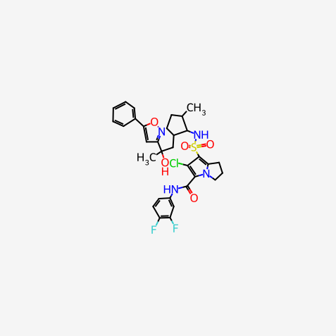 CC1CCC(CC(C)(O)c2cc(-c3ccccc3)on2)C1NS(=O)(=O)c1c(Cl)c(C(=O)Nc2ccc(F)c(F)c2)n2c1CCC2